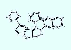 c1ccc(-c2ccc3oc4ccc(-c5cc6ccccc6cc5-c5ccccc5)cc4c3c2)cc1